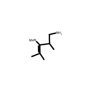 CNC(=C(C)C)C(C)CN